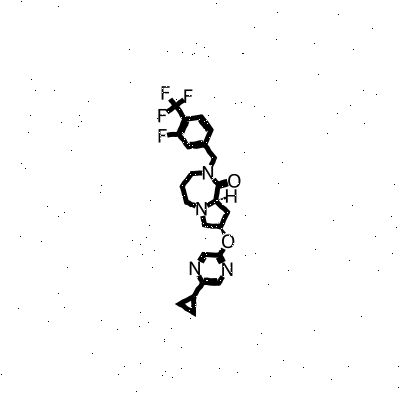 O=C1[C@H]2C[C@@H](Oc3cnc(C4CC4)cn3)CN2CCCN1Cc1ccc(C(F)(F)F)c(F)c1